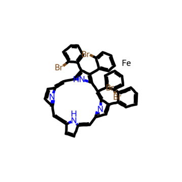 Brc1ccccc1C1=Cc2cc3ccc(cc4nc(cc5[nH]c(c(-c6ccccc6Br)c1n2)c(-c1ccccc1Br)c5-c1ccccc1Br)C=C4)[nH]3.[Fe]